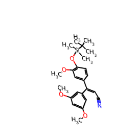 COc1cc(OC)cc(/C(=C\C#N)c2ccc(O[Si](C)(C)C(C)(C)C)c(OC)c2)c1